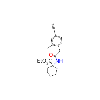 C#Cc1ccc(CC(=O)NC2(C(=O)OCC)CCCCC2)c(C)c1